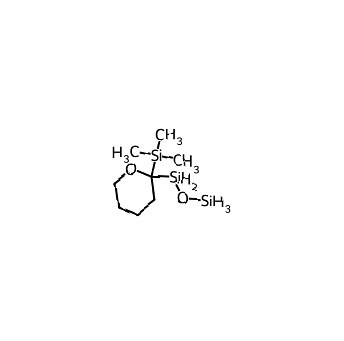 C[Si](C)(C)C1([SiH2]O[SiH3])CCCCO1